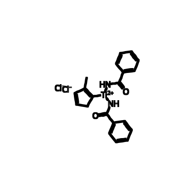 CC1=[C]([Ti+2]([NH]C(=O)c2ccccc2)[NH]C(=O)c2ccccc2)CC=C1.[Cl-].[Cl-]